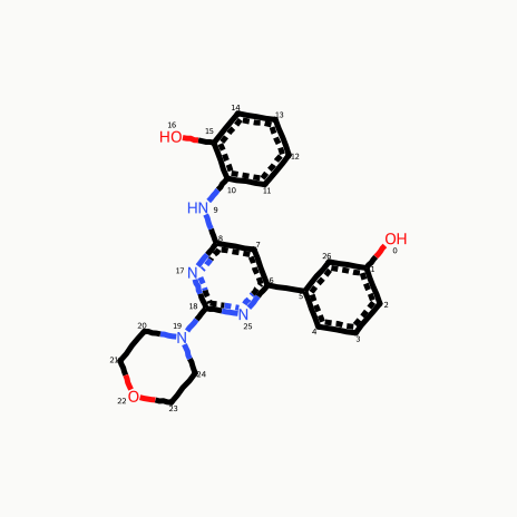 Oc1cccc(-c2cc(Nc3ccccc3O)nc(N3CCOCC3)n2)c1